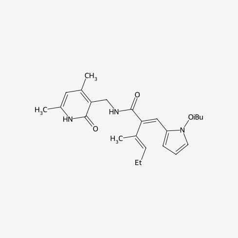 CC/C=C(C)/C(=C\c1cccn1OCC(C)C)C(=O)NCc1c(C)cc(C)[nH]c1=O